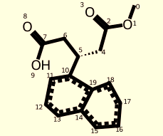 COC(=O)C[C@@H](CC(=O)O)c1cccc2ccccc12